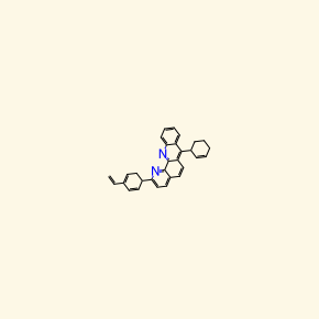 C=CC1=CCC(c2ccc3ccc4c(C5C=CCCC5)c5ccccc5nc4c3n2)C=C1